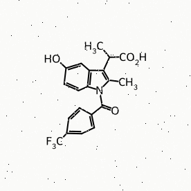 Cc1c(C(C)C(=O)O)c2cc(O)ccc2n1C(=O)c1ccc(C(F)(F)F)cc1